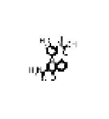 CC(=O)Nc1cc(-n2cc(C(N)=O)c(=O)c3ccccc32)ccc1C